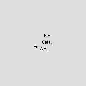 [AlH3].[CaH2].[Fe].[Re]